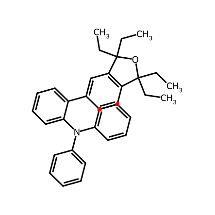 CCC1(CC)OC(CC)(CC)c2cc(-c3ccccc3N(c3ccccc3)c3ccccc3)ccc21